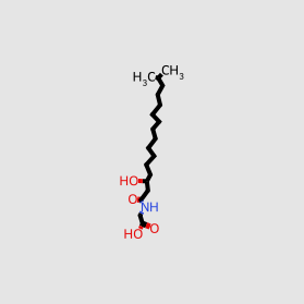 CC(C)CCCCCCCCCCCC(O)CC(=O)NCC(=O)O